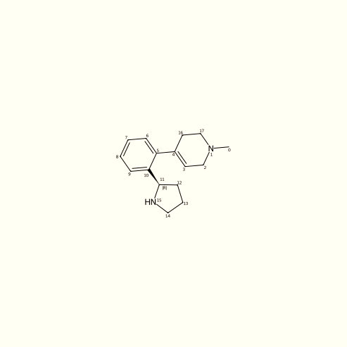 CN1CC=C(c2ccccc2[C@H]2CCCN2)CC1